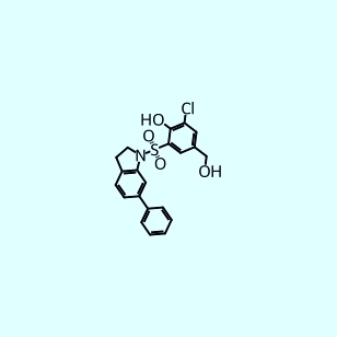 O=S(=O)(c1cc(CO)cc(Cl)c1O)N1CCc2ccc(-c3ccccc3)cc21